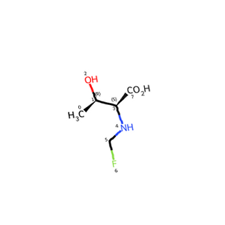 C[C@@H](O)[C@H](NCF)C(=O)O